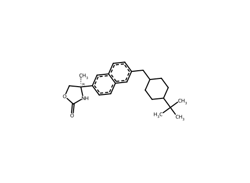 CC(C)(C)C1CCC(Cc2ccc3cc([C@]4(C)COC(=O)N4)ccc3c2)CC1